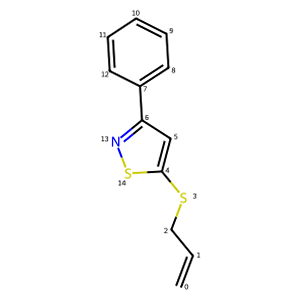 C=CCSc1cc(-c2ccccc2)ns1